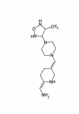 CC1NONC1N1CCN(/C=C2\CC/C(=C/N)NC2)CC1